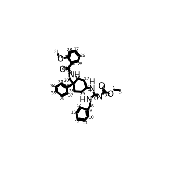 CCOC(=O)N=C(NCc1ccccc1)NC1CCC(CNC(=O)c2ccccc2OC)(c2ccccc2)CC1